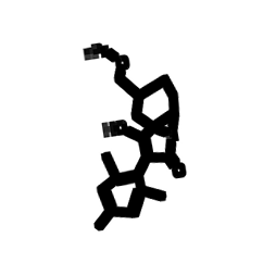 CCCOCC1CCC2N3C(=O)C(c4c(C)cc(C)cc4C)=C(O)C23C1